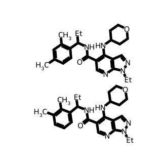 CCC(NC(=O)c1cnc2c(cnn2CC)c1NC1CCOCC1)c1ccc(C)cc1C.CCC(NC(=O)c1cnc2c(cnn2CC)c1NC1CCOCC1)c1cccc(C)c1C